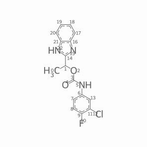 CC(OC(=O)Nc1ccc(F)c(Cl)c1)c1nc2ccccc2[nH]1